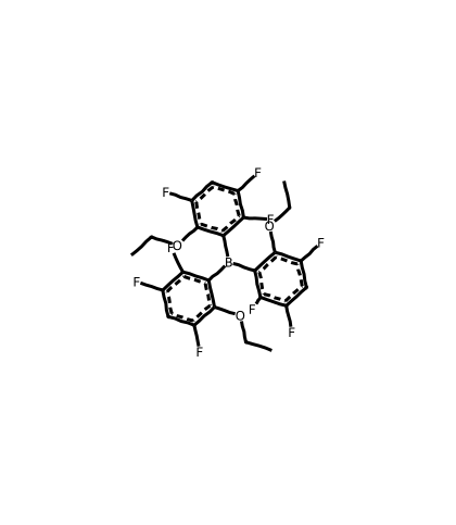 CCOc1c(F)cc(F)c(F)c1B(c1c(F)c(F)cc(F)c1OCC)c1c(F)c(F)cc(F)c1OCC